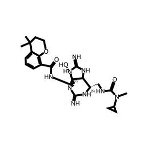 CN(C(=O)NC[C@@H]1NC(=N)N2CC(NC(=O)c3cccc4c3OCCC4(C)C)[C@@H](O)C23NC(=N)NC13)C1CC1